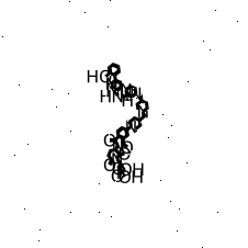 O=C1CCC(N2C(=O)c3ccc(N4CCC(CN5CCC(CN6CCN7c8cc(-c9ccccc9O)nnc8NC[C@H]7C6)CC5)CC4)cc3C2=O)C(=O)N1COP(=O)(O)O